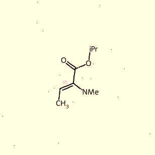 C/C=C(\NC)C(=O)OC(C)C